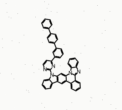 c1ccc(-c2ccc(-c3cccc(-c4ccnc(-n5c6ccccc6c6cc7c8ccccc8c8nc9ccccc9n8c7cc65)n4)c3)cc2)cc1